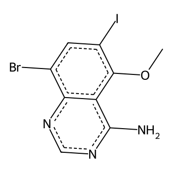 COc1c(I)cc(Br)c2ncnc(N)c12